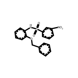 O=[N+]([O-])c1cccc(S(=O)(=O)Nc2ccccc2OCc2ccccc2)c1